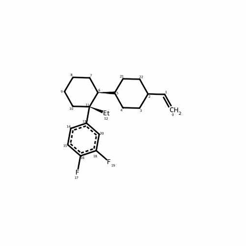 C=CC1CCC([C@@H]2CCCC[C@@]2(CC)c2ccc(F)c(F)c2)CC1